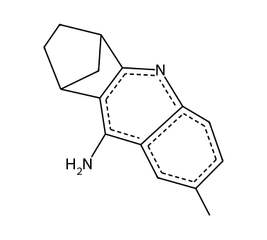 Cc1ccc2nc3c(c(N)c2c1)C1CCC3C1